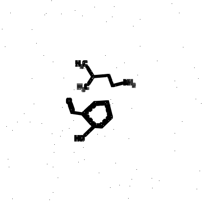 CC(C)CCN.O=Cc1ccccc1O